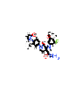 COc1cc(F)cc(-n2nc(C(N)=O)c3c2C(=O)N(c2ccc(N4CCCC4=O)c(C)c2)CC3)c1